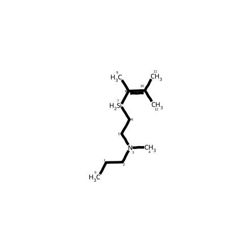 CCCN(C)CC[SiH2]C(C)=C(C)C